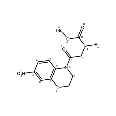 CCN(CC(=O)N1CCOc2cc([N+](=O)[O-])ccc21)C(=O)OC(C)(C)C